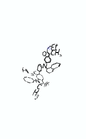 CC/C=C\c1oc2cc(N(c3cccc(C4CCC5C(CCC)C(C)N(C6CCCCCC6)C5CC4C)c3)C3CCCC4C=CC=CC43)ccc2c1C